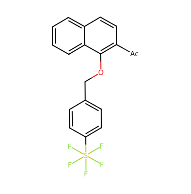 CC(=O)c1ccc2ccccc2c1OCc1ccc(S(F)(F)(F)(F)F)cc1